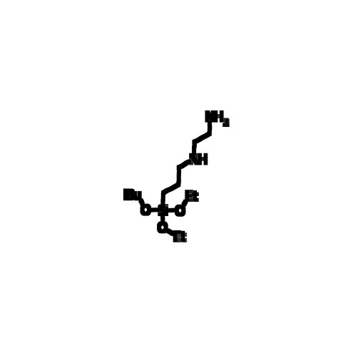 CCO[Si](CCCNCCN)(OCC)OC(C)CC